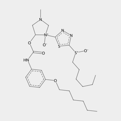 CCCCCCOc1cccc(NC(=O)OC2CN(C)C[N+]2([O-])c2nnc([S+]([O-])CCCCCC)s2)c1